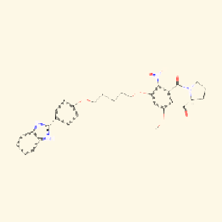 COc1cc(OCCCCCOc2ccc(-c3nc4ccccc4[nH]3)cc2)c([N+](=O)[O-])c(C(=O)N2CCC[C@H]2C=O)c1